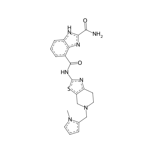 Cn1cccc1CN1CCc2nc(NC(=O)c3cccc4[nH]c(C(N)=O)nc34)sc2C1